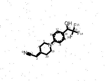 N#CC=C1CCN(c2ccc(C(O)C(F)(F)F)cc2)CC1